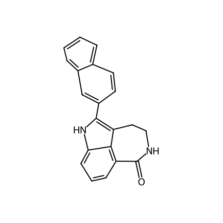 O=C1NCCc2c(-c3ccc4ccccc4c3)[nH]c3cccc1c23